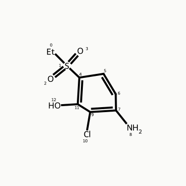 CCS(=O)(=O)c1ccc(N)c(Cl)c1O